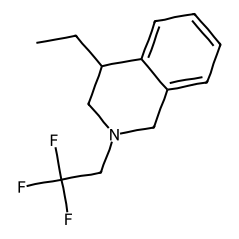 CCC1CN(CC(F)(F)F)Cc2ccccc21